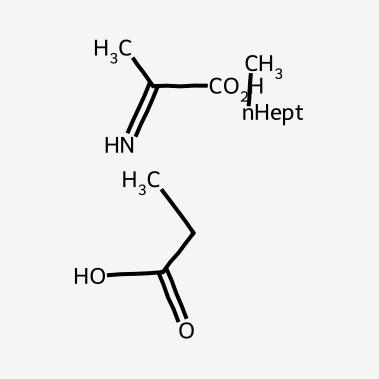 CC(=N)C(=O)O.CCC(=O)O.CCCCCCCC